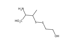 CC(SSCCO)C(N)C(=O)O